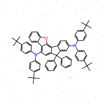 CC(C)(C)c1ccc(N(c2ccc(C(C)(C)C)cc2)c2ccc3c(c2)C(c2ccccc2)(c2ccccc2)c2cc(N(c4ccc(C(C)(C)C)cc4)c4ccc(C(C)(C)C)cc4)c4c(oc5ccccc54)c2-3)cc1